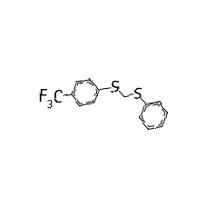 FC(F)(F)c1ccc(SCSc2ccccc2)cc1